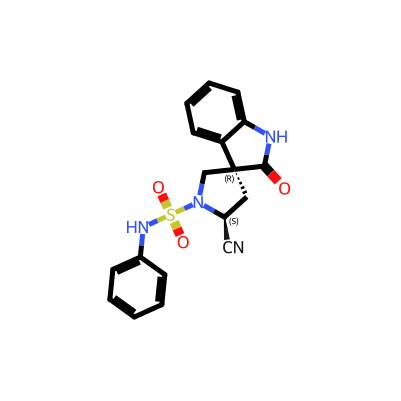 N#C[C@@H]1C[C@@]2(CN1S(=O)(=O)Nc1ccccc1)C(=O)Nc1ccccc12